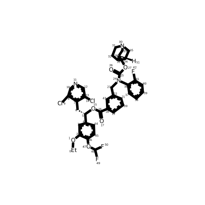 CCOc1cc([C@H](Cc2c(Cl)cncc2Cl)OC(=O)c2cccc(CN(C(=O)O[C@H]3CN4CCC3CC4)c3ccccc3F)c2)ccc1OC(F)F